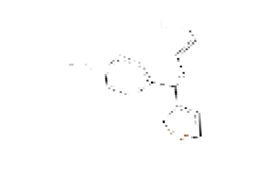 O=C(O)/C=C/C=C(\c1ccc(C(F)(F)F)cc1)c1ccsc1